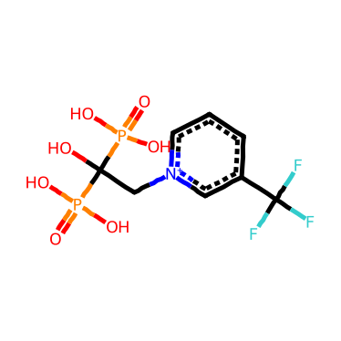 O=P(O)(O)C(O)(C[n+]1cccc(C(F)(F)F)c1)P(=O)(O)O